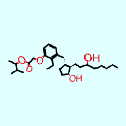 CCCCC[C@H](O)CC[C@@H]1[C@@H](Cc2cccc(OCC(=O)OC(C)C(C)C)c2CC)CC[C@H]1O